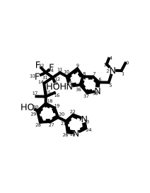 CCN(CC)Cc1cc2cc(CC(O)(CC(C)(C)c3cc(-c4cncnc4)ccc3O)C(F)(F)F)[nH]c2cn1